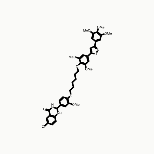 COc1cc(C2NC(=O)c3cc(Cl)ccc3N2)ccc1OCCCCCCOc1c(OC)cc(-c2cc(-c3cc(OC)c(OC)c(OC)c3)no2)cc1OC